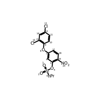 CCCS(=O)(=O)Oc1cc(Oc2ccc(Cl)cc2Cl)ccc1[N+](=O)[O-]